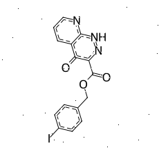 O=C(OCc1ccc(I)cc1)c1n[nH]c2ncccc2c1=O